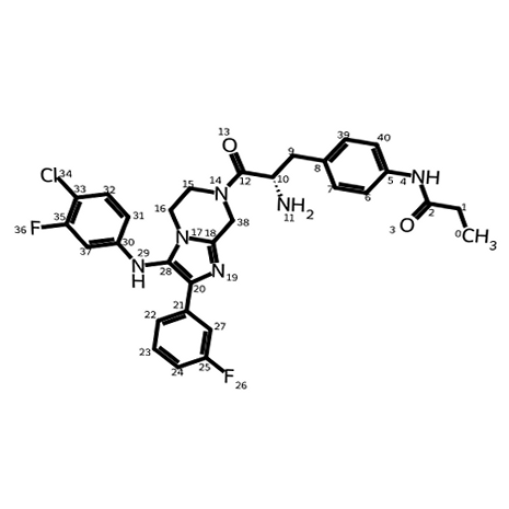 CCC(=O)Nc1ccc(C[C@H](N)C(=O)N2CCn3c(nc(-c4cccc(F)c4)c3Nc3ccc(Cl)c(F)c3)C2)cc1